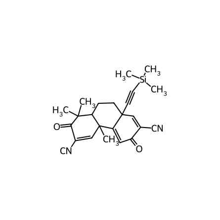 [C-]#[N+]C1=CC2(C)C3=CC(=O)C(C#N)=CC3(C#C[Si](C)(C)C)CCC2C(C)(C)C1=O